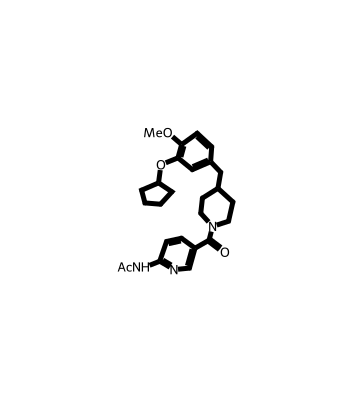 COc1ccc(CC2CCN(C(=O)c3ccc(NC(C)=O)nc3)CC2)cc1OC1CCCC1